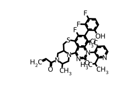 C=CC(=O)N1CC2CSc3c(F)c(-c4c(O)ccc(F)c4F)c(Cl)c4c3c(nc(=O)n4-c3c(C)ccnc3C(C)C)N2CC1C